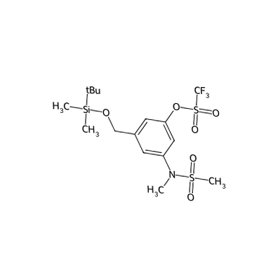 CN(c1cc(CO[Si](C)(C)C(C)(C)C)cc(OS(=O)(=O)C(F)(F)F)c1)S(C)(=O)=O